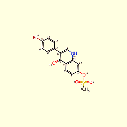 CS(=O)(=O)Oc1ccc2c(=O)c(-c3ccc(Br)cc3)c[nH]c2c1